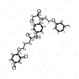 Cc1cccc(OCCN2C(=O)COc3cc(NC(=O)CCCOc4ccc(Cl)cc4Cl)ccc32)c1